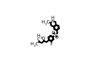 CC(C)CC(=O)Cc1ccc(S(=O)(=O)Cc2ccc3c(c2)CC(C)NC3)cc1F